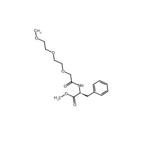 COCCOCCOCC(=O)N[C@@H](Cc1ccccc1)C(=O)OC